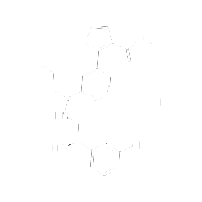 CCCN(NC[C@H](O)c1cccc(Cl)c1)c1cccc(-c2sccc2C(=O)OC)c1.Cl